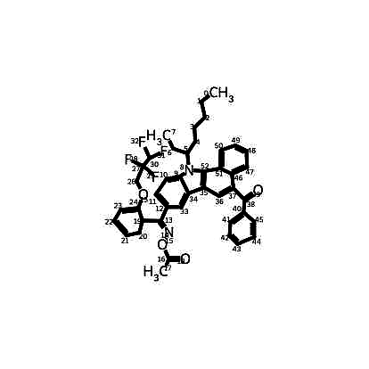 CCCCCC(CC)n1c2ccc(/C(=N/OC(C)=O)C3CC=CC=C3OCC(F)(F)C(F)F)cc2c2cc(C(=O)c3ccccc3)c3ccccc3c21